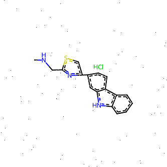 CNCc1nc(-c2ccc3c(c2)[nH]c2ccccc23)cs1.Cl